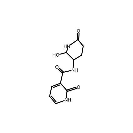 O=C1CCC(NC(=O)c2ccc[nH]c2=O)C(O)N1